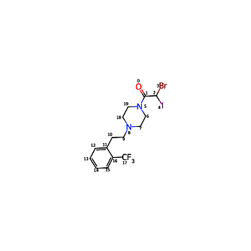 O=C(C(Br)I)N1CCN(CCc2ccccc2C(F)(F)F)CC1